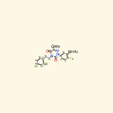 COc1nn(-c2ccc(F)c(NC(C)=O)c2)c(=O)n(CCc2ccc(F)cc2F)c1=O